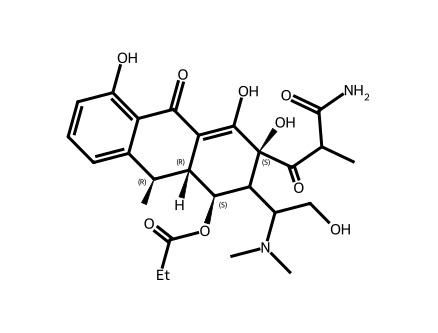 CCC(=O)O[C@@H]1C(C(CO)N(C)C)[C@@](O)(C(=O)C(C)C(N)=O)C(O)=C2C(=O)c3c(O)cccc3[C@H](C)[C@H]21